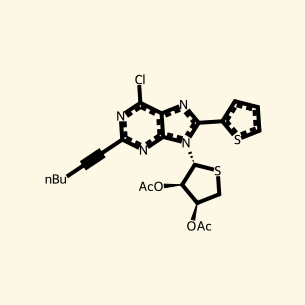 CCCCC#Cc1nc(Cl)c2nc(-c3cccs3)n([C@@H]3SC[C@@H](OC(C)=O)[C@H]3OC(C)=O)c2n1